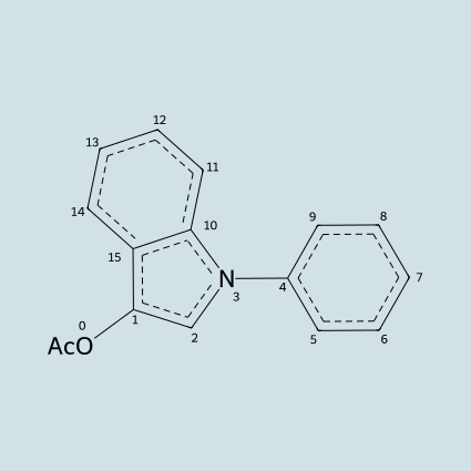 CC(=O)Oc1cn(-c2ccccc2)c2ccccc12